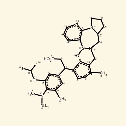 Cc1ccc(C(CC(=O)O)c2cc(N)c(N(C)N)c(OC(F)F)c2)cc1CN1CC2CCCN2c2ncccc2[S+]1[O-]